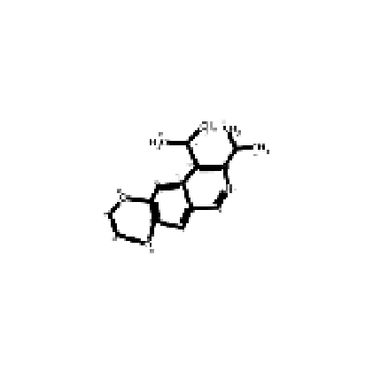 CC(C)c1ncc2cc3c(cc2c1C(C)C)OCCO3